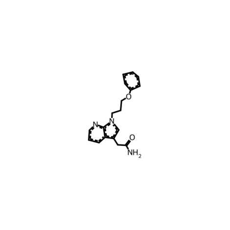 NC(=O)Cc1cn(CCCOc2ccccc2)c2ncccc12